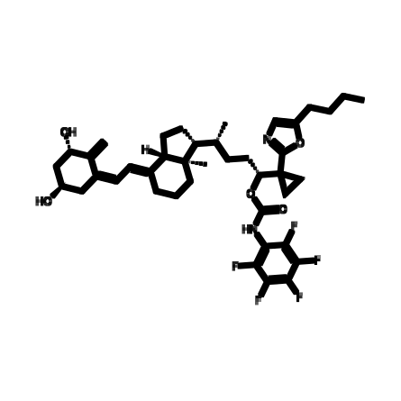 C=C1/C(=C\C=C2/CCC[C@]3(C)[C@@H]([C@H](C)CC[C@@H](OC(=O)Nc4c(F)c(F)c(F)c(F)c4F)C4(c5ncc(CCCC)o5)CC4)CC[C@@H]23)C[C@@H](O)C[C@@H]1O